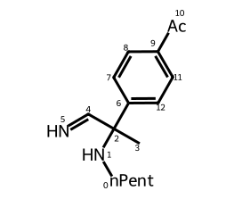 CCCCCNC(C)(C=N)c1ccc(C(C)=O)cc1